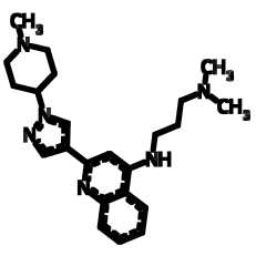 CN(C)CCCNc1cc(-c2cnn(C3CCN(C)CC3)c2)nc2ccccc12